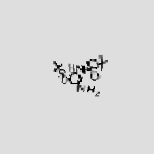 CC(C)(C)OC(=O)NC1CC(N)CC(O[Si](C)(C)C(C)(C)C)C1